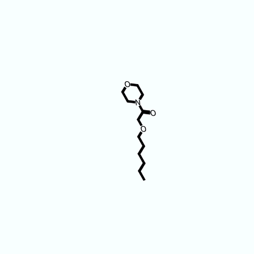 CCCCCCOCC(=O)N1CCOCC1